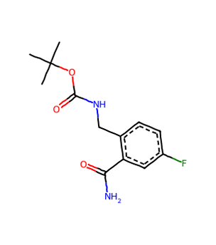 CC(C)(C)OC(=O)NCc1ccc(F)cc1C(N)=O